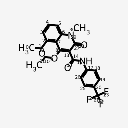 CCc1cccc2c1c(OC(C)=O)c(C(=O)Nc1ccc(C(F)(F)F)cc1)c(=O)n2C